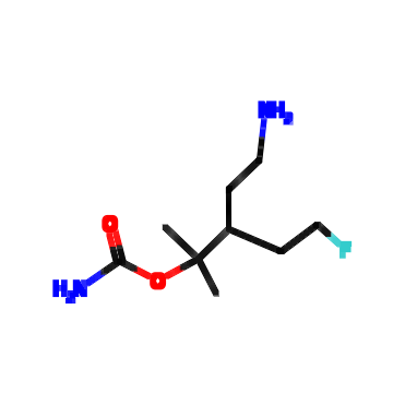 CC(C)(OC(N)=O)C(CCN)CCF